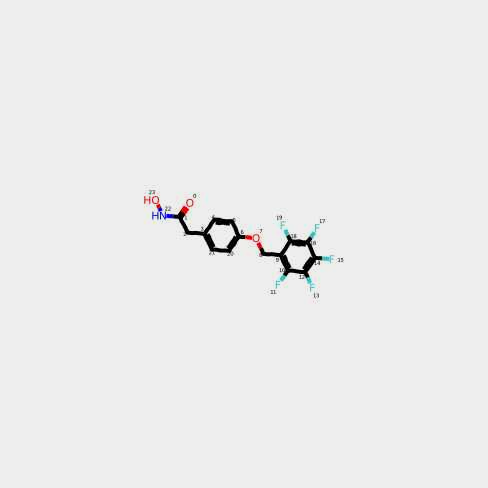 O=C(Cc1ccc(OCc2c(F)c(F)c(F)c(F)c2F)cc1)NO